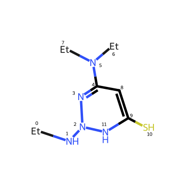 CCNN1N=C(N(CC)CC)C=C(S)N1